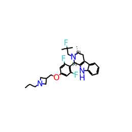 CCCN1CC(COc2cc(F)c([C@@H]3c4[nH]c5ccccc5c4C[C@@H](C)N3CC(C)(C)F)c(F)c2)C1